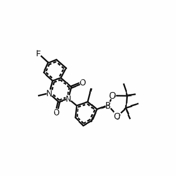 Cc1c(B2OC(C)(C)C(C)(C)O2)cccc1-n1c(=O)c2ccc(F)cc2n(C)c1=O